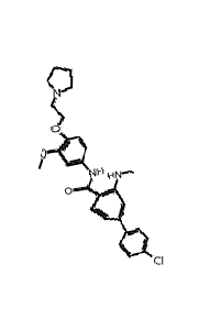 CNc1cc(-c2ccc(Cl)cc2)ccc1C(=O)Nc1ccc(OCCN2CCCC2)c(OC)c1